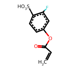 C=CC(=O)Oc1ccc(S(=O)(=O)O)c(F)c1